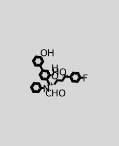 O=CN(c1ccccc1)[C@@H](CCC[C@H](O)c1ccc(F)cc1)c1ccc(-c2cccc(O)c2)cc1O